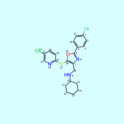 Fc1ccc(-c2nc(CNC3CCCCC3)c(Sc3ccc(Cl)cn3)o2)cc1